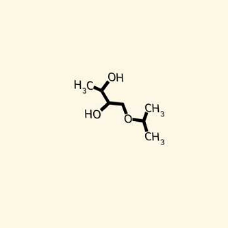 CC(C)OCC(O)C(C)O